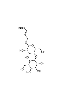 CCCCCCCCCC/C=C/COC1O[C@H](CO)[C@@H](O[C@@H]2O[C@H](CO)[C@H](O)[C@H](O)[C@H]2O)[C@H](O)[C@H]1O